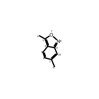 Cc1ccc2c(C)onc2c1